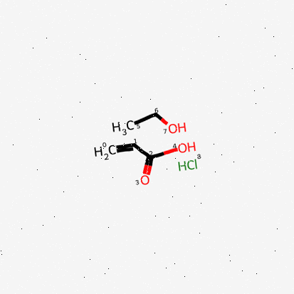 C=CC(=O)O.CCO.Cl